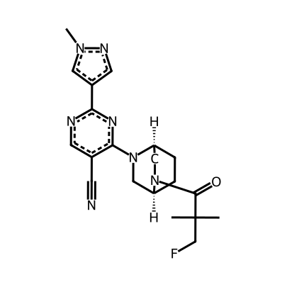 Cn1cc(-c2ncc(C#N)c(N3C[C@@H]4CC[C@H]3CN4C(=O)C(C)(C)CF)n2)cn1